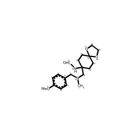 COc1ccc(CN(C)CC2(NC=O)CCC3(CC2)OCCO3)cc1